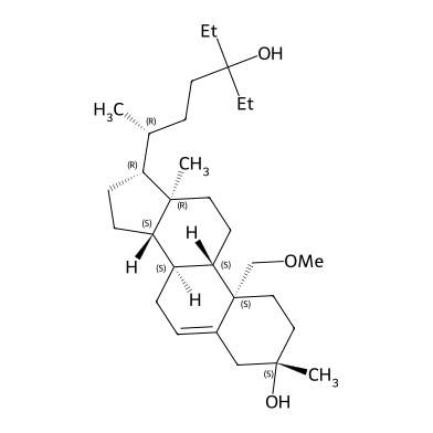 CCC(O)(CC)CC[C@@H](C)[C@H]1CC[C@H]2[C@@H]3CC=C4C[C@@](C)(O)CC[C@]4(COC)[C@H]3CC[C@]12C